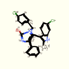 O=C(O)c1[nH]c2cc(Cl)ccc2c1-c1c(-c2ccccc2)nc(Br)n1Cc1ccc(Cl)cc1